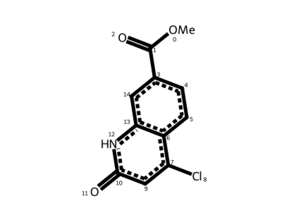 COC(=O)c1ccc2c(Cl)cc(=O)[nH]c2c1